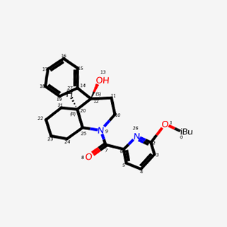 CCC(C)Oc1cccc(C(=O)N2CC[C@@](O)(c3ccccc3)[C@@H]3CCCCC32)n1